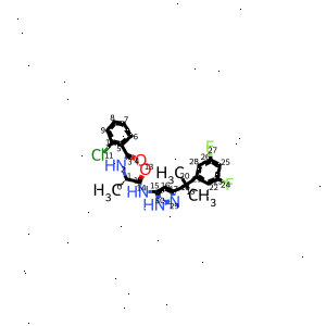 C[C@H](NC(=O)c1ccccc1Cl)C(=O)Nc1cc(C(C)(C)c2cc(F)cc(F)c2)n[nH]1